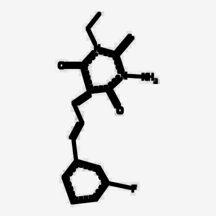 C=c1n(N)c(=O)/c(=C\C=C\c2cccc(F)c2)c(=O)n1CC